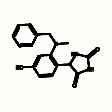 CN(Cc1ccccc1)c1cc(C#N)ccc1C1NC(=O)NC1=O